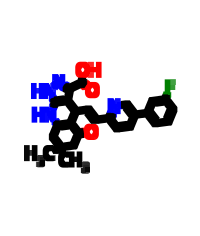 CC1(C)CC(=O)C2=C(C1)Nc1[nH]nc(C(=O)O)c1C2C=Cc1ccc(-c2cccc(F)c2)cn1